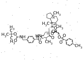 Cc1ccc(S(=O)(=O)OCC(=O)O[C@H](C[C@](C)(CCNC(=O)c2ccc(CNC(=O)OC(C)(C)C)cc2)C(=O)C(C)C)[C@@]2(C)C3CCC[C@]3(C)CC[C@H]2C)cc1